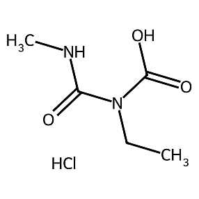 CCN(C(=O)O)C(=O)NC.Cl